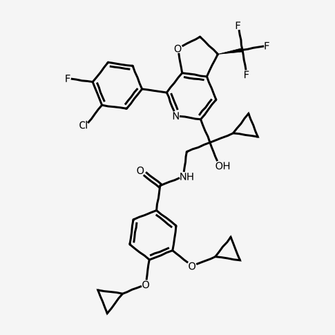 O=C(NCC(O)(c1cc2c(c(-c3ccc(F)c(Cl)c3)n1)OC[C@H]2C(F)(F)F)C1CC1)c1ccc(OC2CC2)c(OC2CC2)c1